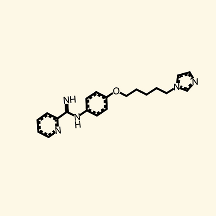 N=C(Nc1ccc(OCCCCCn2ccnc2)cc1)c1ccccn1